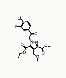 CCOC(=O)c1c(COC)c(C(=O)OC)nn1CC(=O)c1ccc(Cl)c(F)c1